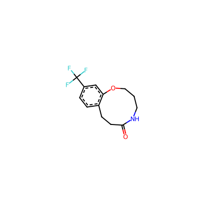 O=C1CCc2ccc(C(F)(F)F)cc2OCCCN1